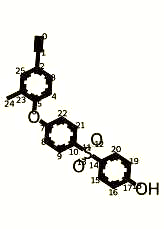 C#Cc1ccc(Oc2ccc(S(=O)(=O)c3ccc(O)cc3)cc2)c(C)c1